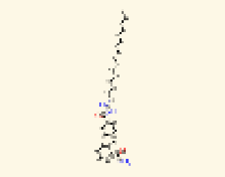 CCCCCCCCCCCCCCCCNNC(=O)c1ccc(Cc2ccccc2C(N)=O)cc1